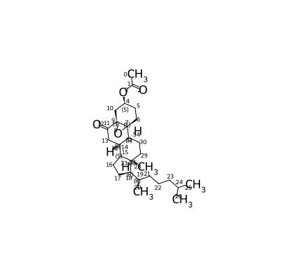 CC(=O)O[C@H]1CC[C@@]23O[C@]2(C1)C(=O)C[C@H]1[C@@H]2CC[C@H]([C@H](C)CCCC(C)C)[C@@]2(C)CC[C@@H]13